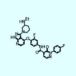 CCNC1CCCN(c2n[nH]c3nccc(Oc4ccc(NC(=O)c5ccnn(-c6ccc(F)cc6)c5=O)cc4F)c23)C1